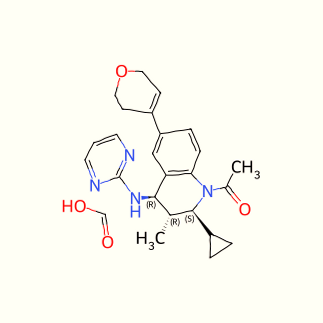 CC(=O)N1c2ccc(C3=CCOCC3)cc2[C@H](Nc2ncccn2)[C@@H](C)[C@@H]1C1CC1.O=CO